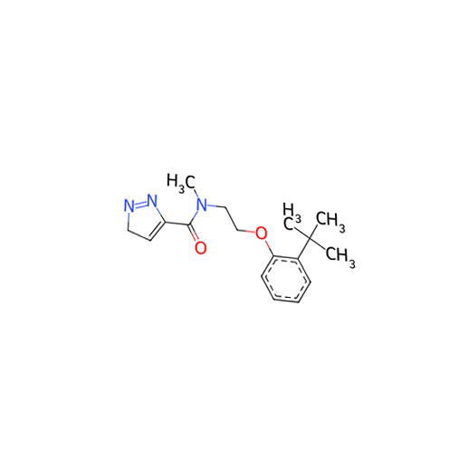 CN(CCOc1ccccc1C(C)(C)C)C(=O)C1=CCN=N1